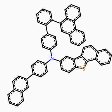 c1ccc(-c2cc3ccccc3c3ccccc23)c(-c2ccc(N(c3ccc(-c4ccc5ccccc5c4)cc3)c3ccc4sc5c6ccccc6ccc5c4c3)cc2)c1